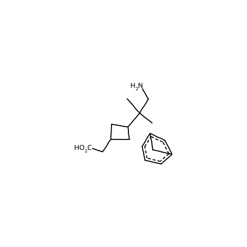 CC(C)(CN)C1CC(CC(=O)O)C1.c1cc2cc(c1)C2